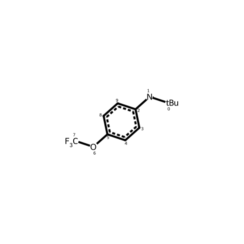 CC(C)(C)[N]c1ccc(OC(F)(F)F)cc1